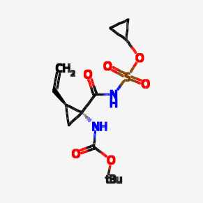 C=C[C@@H]1C[C@]1(NC(=O)OC(C)(C)C)C(=O)NS(=O)(=O)OC1CC1